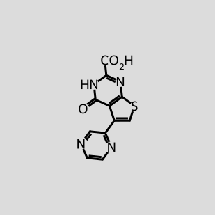 O=C(O)c1nc2scc(-c3cnccn3)c2c(=O)[nH]1